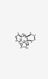 c1ccc2c(c1)Sc1ccccc1C21OCCO1